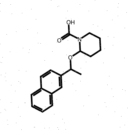 CC(OC1CCCCN1C(=O)O)c1ccc2ccccc2c1